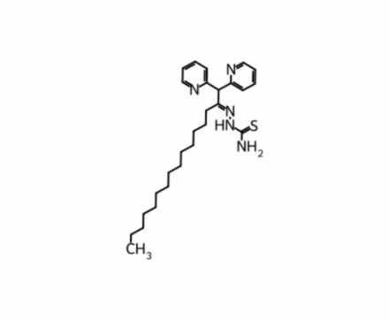 CCCCCCCCCCCCCCC(=NNC(N)=S)C(c1ccccn1)c1ccccn1